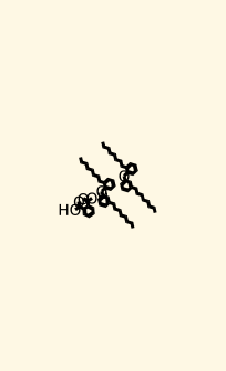 CCCCCCCCc1cccc(Oc2ccccc2CCCCCCCC)c1.CCCCCCCCc1cccc(Oc2ccccc2CCCCCCCC)c1.O=C(O)c1ccccc1C(=O)O